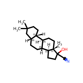 CC1(C)CC[C@H]2[C@H](CC[C@@H]3[C@@H]2CC[C@@]2(C)[C@H]3CCC2(O)C#N)C1